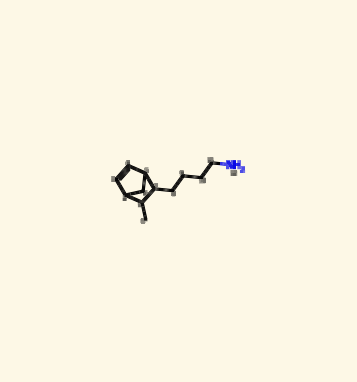 CC1C2C=CC(C2)C1CCCCN